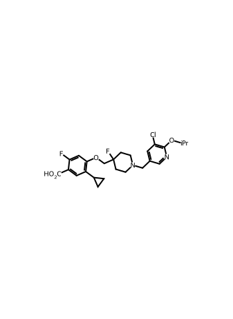 CC(C)Oc1ncc(CN2CCC(F)(COc3cc(F)c(C(=O)O)cc3C3CC3)CC2)cc1Cl